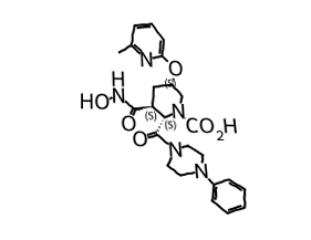 Cc1cccc(O[C@H]2C[C@H](C(=O)NO)[C@@H](C(=O)N3CCN(c4ccccc4)CC3)N(C(=O)O)C2)n1